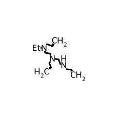 C=CCNCCN(CC=C)CCN(CC)CC=C